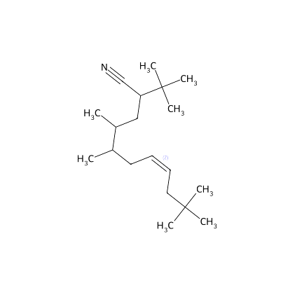 CC(C/C=C\CC(C)(C)C)C(C)CC(C#N)C(C)(C)C